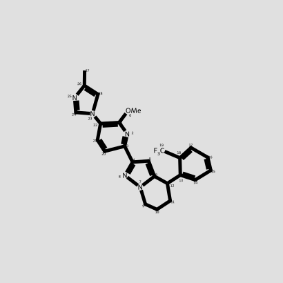 COc1nc(-c2cc3n(n2)CCCC3c2ccccc2C(F)(F)F)ccc1-n1cnc(C)c1